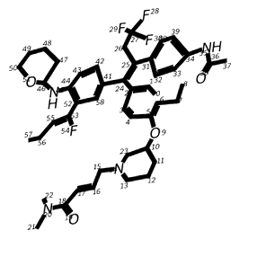 C/C=C(\C=C/C(=C/CC)OC1CCCN(C/C=C/C(=O)N(C)C)C1)C(=C(/CC(F)(F)F)c1ccc(NC(C)=O)cc1)/c1ccc(NC2CCCCO2)c(/C(F)=C/CC)c1